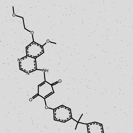 COCCOc1cc2ncnc(NC3=CC(=O)C(Oc4ccc(C(C)(C)c5ccccc5)cc4)=CC3=O)c2cc1OC